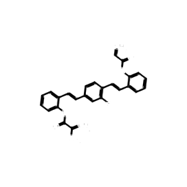 C=CC(=O)Oc1ccccc1/C=C/c1ccc(/C=C/c2ccccc2OC(=O)C(=C)C)cc1F